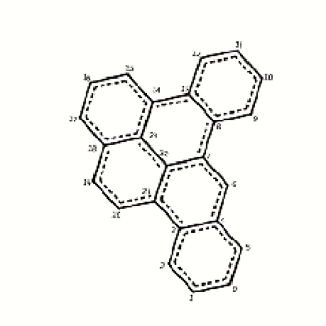 c1ccc2c(c1)cc1c3ccccc3c3cccc4ccc2c1c43